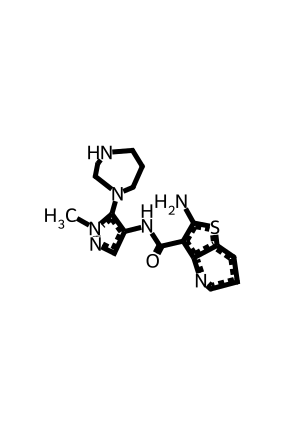 Cn1ncc(NC(=O)c2c(N)sc3cccnc23)c1N1CCCNCC1